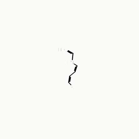 C=CN/C=C\C=C/C